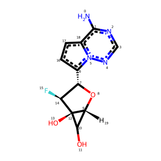 Nc1ncnn2c([C@@H]3O[C@@H]4C(O)[C@]4(O)[C@H]3F)ccc12